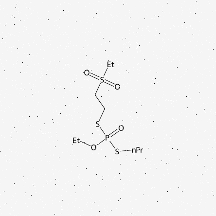 CCCSP(=O)(OCC)SCCS(=O)(=O)CC